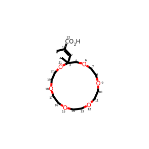 CC(=CC1(C)COCCOCCOCCOCCOCCO1)C(=O)O